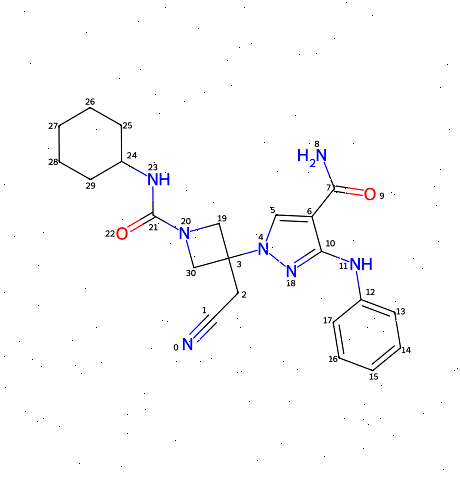 N#CCC1(n2cc(C(N)=O)c(Nc3ccccc3)n2)CN(C(=O)NC2CCCCC2)C1